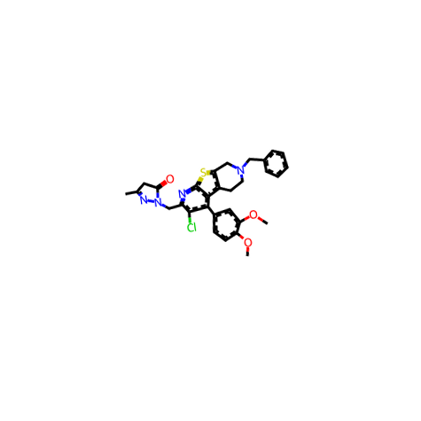 COc1ccc(-c2c(Cl)c(CN3N=C(C)CC3=O)nc3sc4c(c23)CCN(Cc2ccccc2)C4)cc1OC